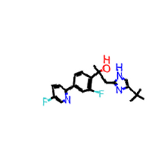 CC(C)(C)c1c[nH]c(CC(C)(O)c2ccc(-c3ccc(F)cn3)cc2F)n1